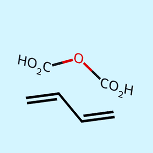 C=CC=C.O=C(O)OC(=O)O